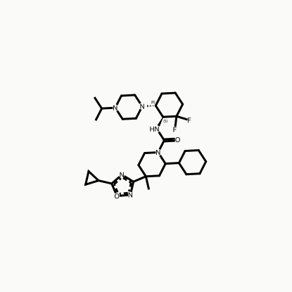 CC(C)N1CCN([C@@H]2CCCC(F)(F)[C@H]2NC(=O)N2CCC(C)(c3noc(C4CC4)n3)CC2C2CCCCC2)CC1